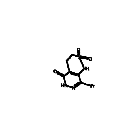 CC(C)c1n[nH]c(=O)c2c1NS(=O)(=O)CC2